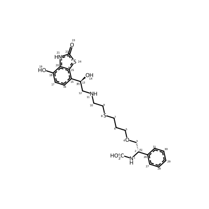 O=C(O)N[C@H](COCCCSCCNC[C@H](O)c1ccc(O)c2[nH]c(=O)sc12)c1ccccc1